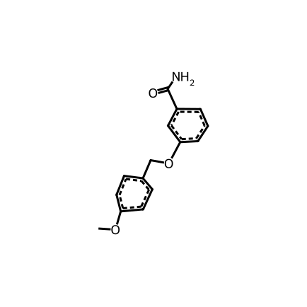 COc1ccc(COc2cccc(C(N)=O)c2)cc1